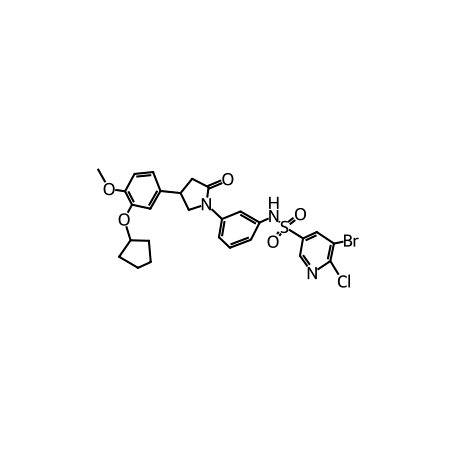 COc1ccc(C2CC(=O)N(c3cccc(NS(=O)(=O)c4cnc(Cl)c(Br)c4)c3)C2)cc1OC1CCCC1